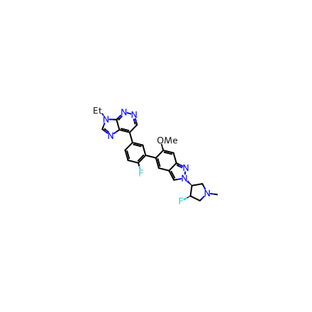 CCn1cnc2c(-c3ccc(F)c(-c4cc5cn([C@H]6CN(C)C[C@H]6F)nc5cc4OC)c3)cnnc21